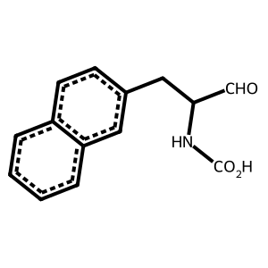 O=CC(Cc1ccc2ccccc2c1)NC(=O)O